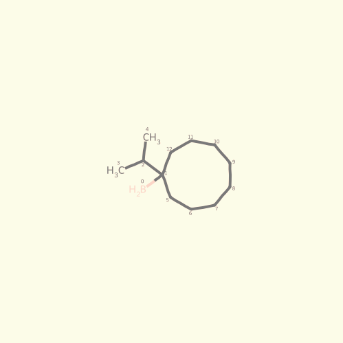 BC1(C(C)C)CCCCCCCC1